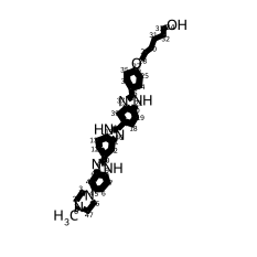 CN1CCN(c2ccc3[nH]c(-c4ccc5[nH]c(-c6ccc7[nH]c(-c8ccc(OCCCCCCO)cc8)nc7c6)nc5c4)nc3c2)CC1